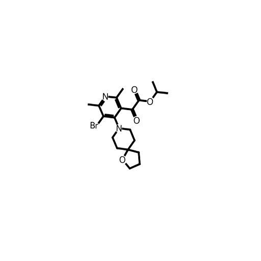 Cc1nc(C)c(C(=O)C(=O)OC(C)C)c(N2CCC3(CCCO3)CC2)c1Br